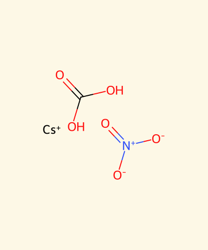 O=C(O)O.O=[N+]([O-])[O-].[Cs+]